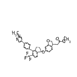 COC(=O)CC1COc2cc(O[C@@H]3CCc4c3ccc(C(F)(F)F)c4-c3ccc(-c4cnn(C)c4)cc3)ccc21